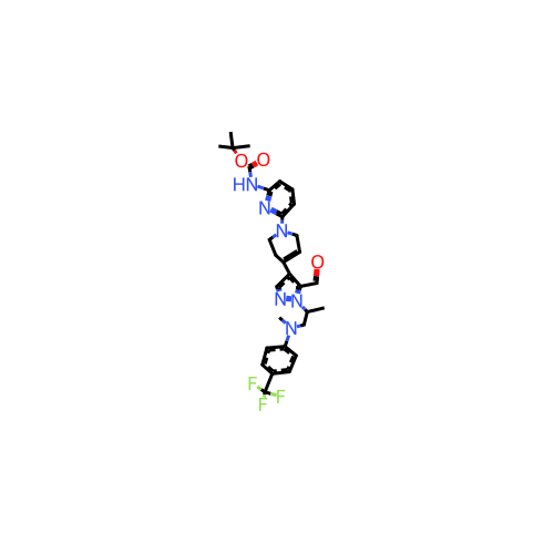 CC(CN(C)c1ccc(C(F)(F)F)cc1)n1ncc(C2=CCN(c3cccc(NC(=O)OC(C)(C)C)n3)CC2)c1C=O